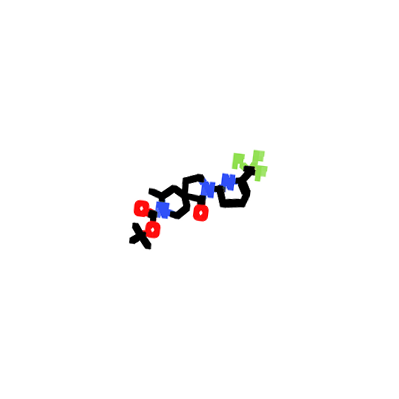 CC1CC2(CCN(c3cccc(C(F)(F)F)n3)C2=O)CCN1C(=O)OC(C)(C)C